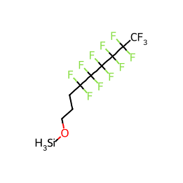 FC(F)(F)C(F)(F)C(F)(F)C(F)(F)C(F)(F)C(F)(F)CCCO[SiH3]